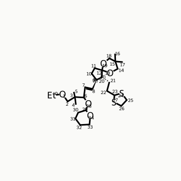 CCOCC(C)(C)C(C=C[C@H]1CCC2(OCC(C)(C)CO2)[C@@H]1CCC1SCCS1)OC1CCCCO1